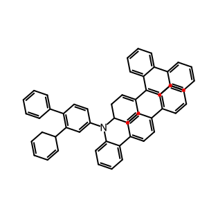 C1=CCC(c2cc(N(c3ccccc3-c3ccc(-c4ccccc4)cc3)C3C=CC(c4cc5ccccc5c5ccccc45)=CC3)ccc2-c2ccccc2)C=C1